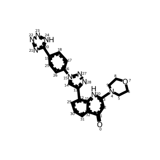 O=c1cc(N2CCOCC2)[nH]c2c(-c3cn(-c4ccc(-c5nnn[nH]5)cc4)nn3)cccc12